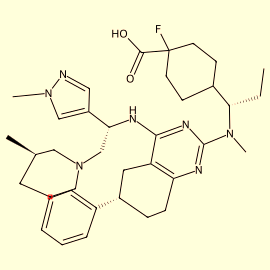 CC[C@@H](C1CCC(F)(C(=O)O)CC1)N(C)c1nc2c(c(N[C@H](CN3CCC[C@@H](C)C3)c3cnn(C)c3)n1)C[C@@H](c1ccccc1)CC2